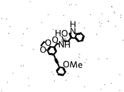 COc1ccccc1C#Cc1cc2c(c(C(=O)N[C@@H](CO)Cc3c[nH]c4ccccc34)c1)OCCO2